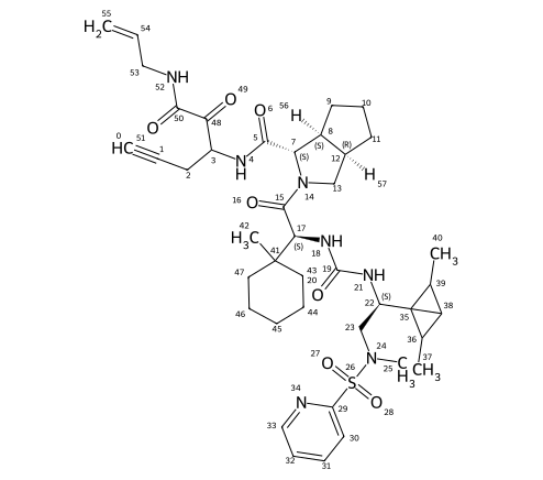 C#CCC(NC(=O)[C@@H]1[C@H]2CCC[C@H]2CN1C(=O)[C@@H](NC(=O)N[C@H](CN(C)S(=O)(=O)c1ccccn1)C12C(C)C1C2C)C1(C)CCCCC1)C(=O)C(=O)NCC=C